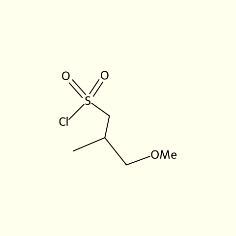 COCC(C)CS(=O)(=O)Cl